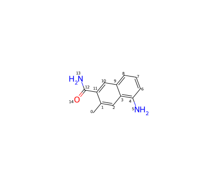 Cc1cc2c(N)cccc2cc1C(N)=O